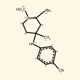 CC1(Nc2ccc(C#N)cc2)CCN(C(=O)O)C(C(C)(C)C)C1